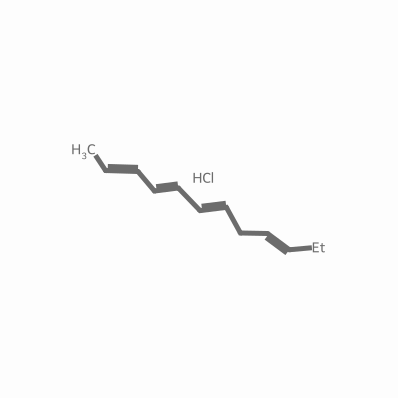 CC=CC=CC=CCC=CCC.Cl